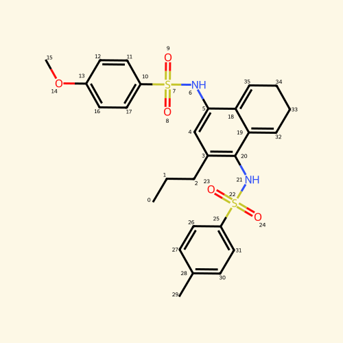 CCCc1cc(NS(=O)(=O)c2ccc(OC)cc2)c2c(c1NS(=O)(=O)c1ccc(C)cc1)=CCCC=2